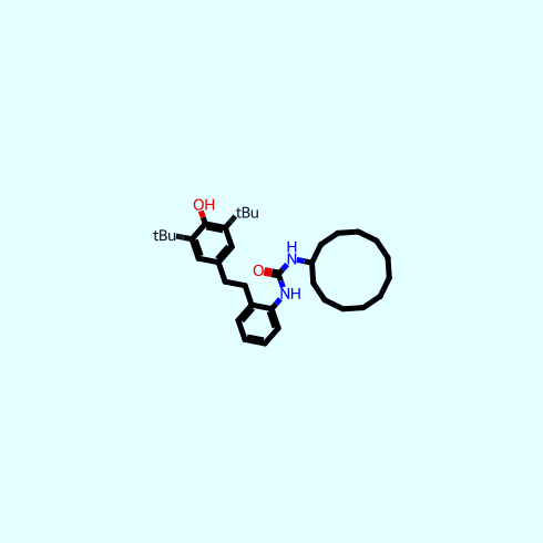 CC(C)(C)c1cc(CCc2ccccc2NC(=O)NC2CCCCCCCCCCC2)cc(C(C)(C)C)c1O